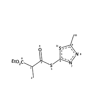 CCOC(=O)C(C)C(=O)Sc1nnc(C)s1